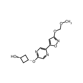 COCOc1cc(-c2cnc(O[C@H]3C[C@H](O)C3)cn2)on1